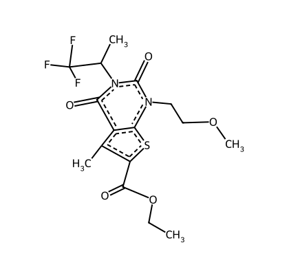 CCOC(=O)c1sc2c(c1C)c(=O)n(C(C)C(F)(F)F)c(=O)n2CCOC